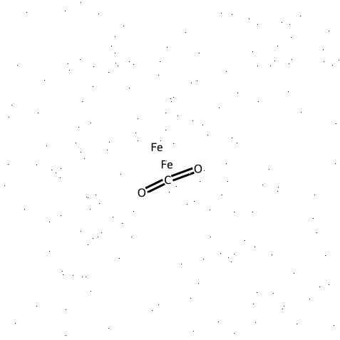 O=C=O.[Fe].[Fe]